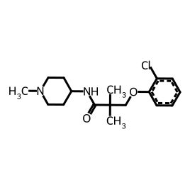 CN1CCC(NC(=O)C(C)(C)COc2ccccc2Cl)CC1